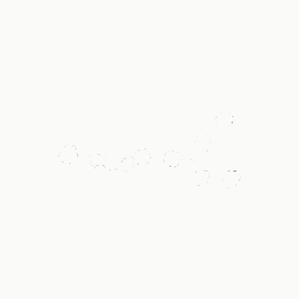 CC1(C)c2ccccc2-c2ccc(N(c3ccc(-c4ccc5c(c4)oc4cc6nc(-c7ccccc7)oc6cc45)cc3)c3cccc(-c4ccccc4)c3)cc21